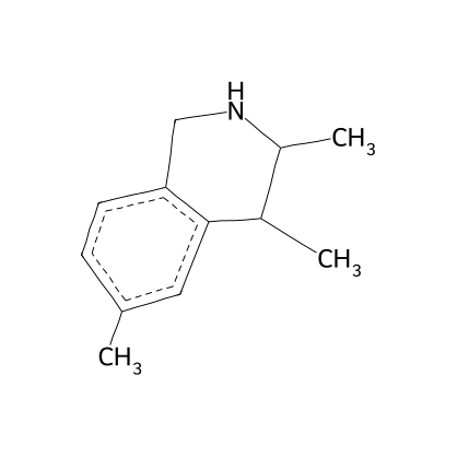 Cc1ccc2c(c1)C(C)C(C)NC2